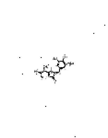 CN(C(=N)N)C1=NC(=O)C(=Cc2cc(C(C)(C)C)c(O)c(C(C)(C)C)c2)N1